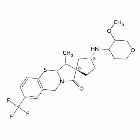 COC1COCCC1N[C@@H]1CC[C@@]2(C1)C(=O)N1Cc3cc(C(F)(F)F)ccc3SC1C2C